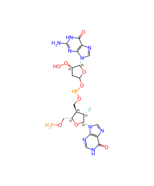 Nc1nc2c(ncn2[C@@H]2OC(OPOC[C@H]3[C@H](F)[C@H](n4cnc5c(=O)[nH]cnc54)O[C@@H]3COP)C[C@H]2OO)c(=O)[nH]1